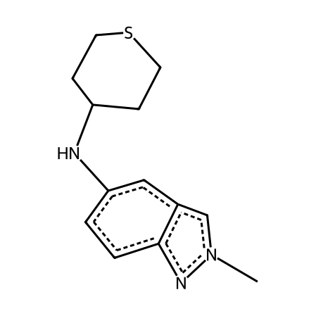 Cn1cc2cc(NC3CCSCC3)ccc2n1